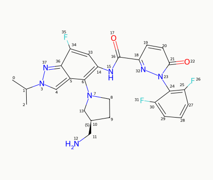 CC(C)n1cc2c(N3CC[C@@H](CN)C3)c(NC(=O)c3ccc(=O)n(-c4c(F)cccc4F)n3)cc(F)c2n1